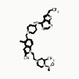 Cc1c(CN2CCC(Nc3ncnc4sc(CC(F)(F)F)cc34)CC2)ccc2c1cc(C#N)n2CCN1CCN([S+](C)[O-])C(C(F)(F)F)C1